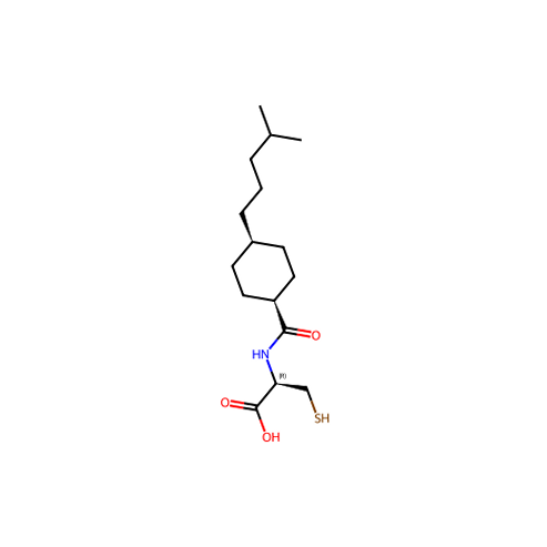 CC(C)CCC[C@H]1CC[C@@H](C(=O)N[C@@H](CS)C(=O)O)CC1